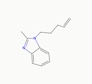 C=CCCCn1c(C)nc2ccccc21